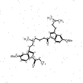 COc1ccc2c(c1)c(CCN(C)C)cn2C(=O)CCCN(C)CCc1cn(C(=O)CC(F)(F)F)c2ccc(OC)cc12